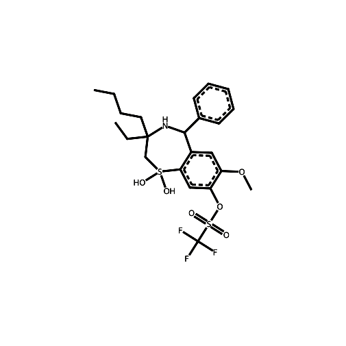 CCCCC1(CC)CS(O)(O)c2cc(OS(=O)(=O)C(F)(F)F)c(OC)cc2C(c2ccccc2)N1